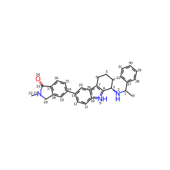 CC(N[C@@H]1CCCc2c1[nH]c1ccc(-c3ccc4c(c3)CN(C)C4=O)cc21)c1ccccc1